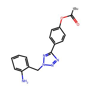 CC(C)(C)C(=O)Oc1ccc(-c2nnn(Cc3ccccc3N)n2)cc1